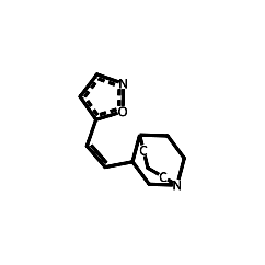 C(=C/C1CN2CCCC1CC2)/c1ccno1